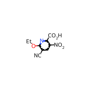 CCOc1nc(C(=O)O)c([N+](=O)[O-])cc1C#N